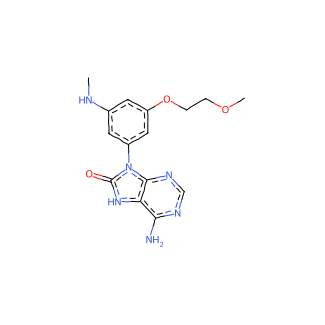 CNc1cc(OCCOC)cc(-n2c(=O)[nH]c3c(N)ncnc32)c1